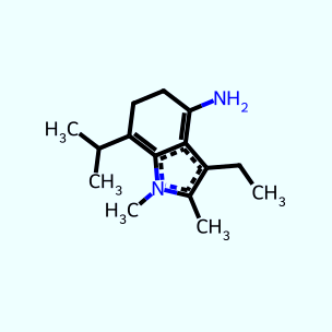 CCc1c(C)n(C)c2c1=C(N)CCC=2C(C)C